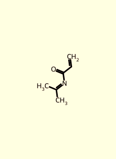 C=CC(=O)N=C(C)C